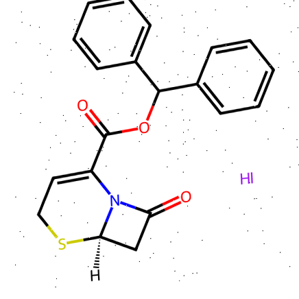 I.O=C(OC(c1ccccc1)c1ccccc1)C1=CCS[C@@H]2CC(=O)N12